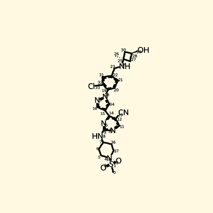 CS(=O)(=O)N1CCC(Nc2ncc(C#N)c(-c3cnn(-c4ccc(CN[C@]5(C)C[C@H](O)C5)cc4Cl)c3)n2)CC1